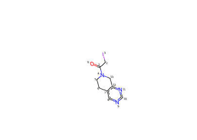 O=C(CI)N1CCc2cncnc2C1